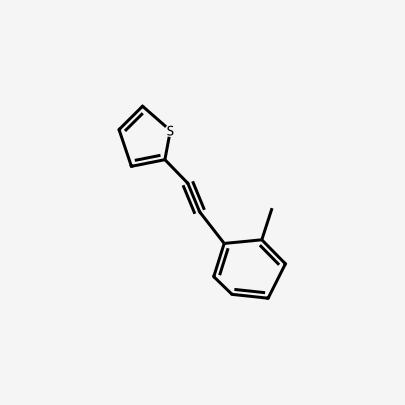 Cc1ccccc1C#Cc1cccs1